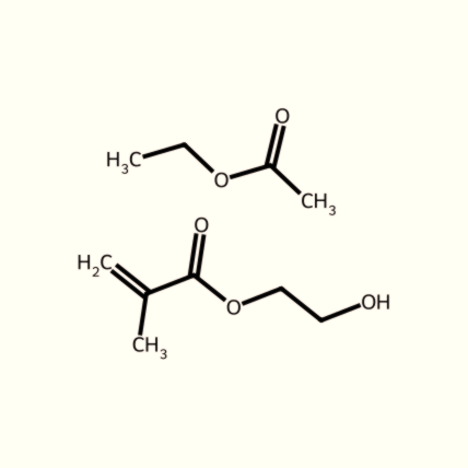 C=C(C)C(=O)OCCO.CCOC(C)=O